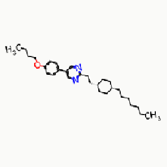 CCCCCCC[C@H]1CC[C@H](CCc2ncc(-c3ccc(OCCCC)cc3)cn2)CC1